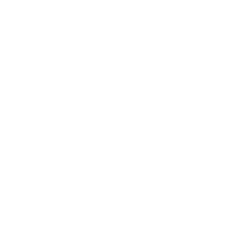 CCCCC=Cc1coc(-c2ccc(S(=O)(=O)N(CCC)CCC)cc2)n1